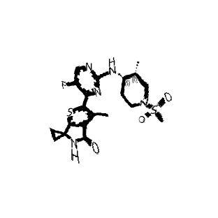 Cc1c(-c2nc(N[C@H]3CCN(S(C)(=O)=O)C[C@H]3C)ncc2F)sc2c1C(=O)NC21CC1